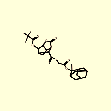 CC(F)(F)C(=O)OC1C2CC3C1OC(=O)C3C2C(=O)OCC(=O)OC1(C)C2CC3CC(C2)CC1C3